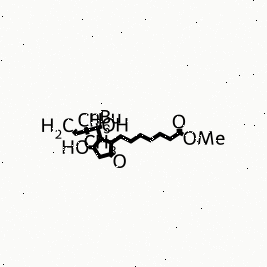 C=CC(C)(C)[C@](O)(CCCC)C1C(O)CC(=O)C1CCCCCCC(=O)OC